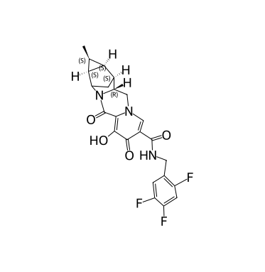 C[C@@H]1[C@@H]2C3C[C@@H]([C@H]12)[C@@H]1Cn2cc(C(=O)NCc4cc(F)c(F)cc4F)c(=O)c(O)c2C(=O)N31